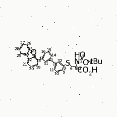 CC(C)(C)OC(=O)NC(CSc1cccc(-c2cccc(-c3cccc4c3oc3ccccc34)c2)c1)C(=O)O